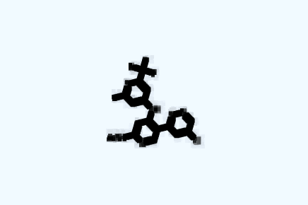 CC(=O)Nc1cc(Nc2cc(C)nc(C(C)(F)F)c2)c(-c2cc(Cl)cnn2)cn1